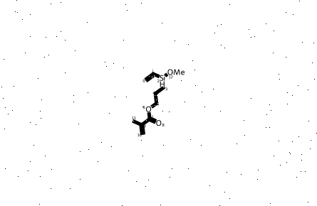 C=C[SiH](CCCOC(=O)C(=C)C)OC